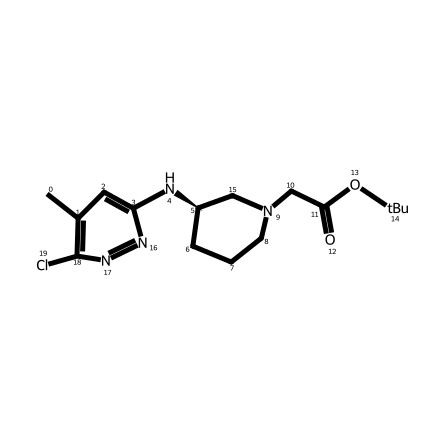 Cc1cc(N[C@@H]2CCCN(CC(=O)OC(C)(C)C)C2)nnc1Cl